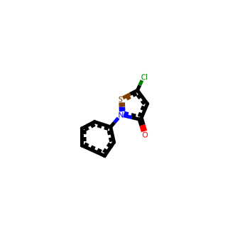 O=c1cc(Cl)sn1-c1[c]cccc1